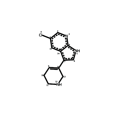 Clc1cnc2[nH]cc(C3=CCCNC3)c2c1